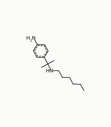 CCCCCCNC(C)(C)c1ccc(N)cc1